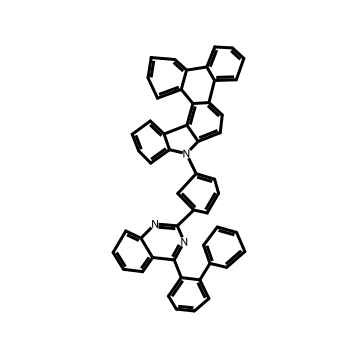 c1ccc(-c2ccccc2-c2nc(-c3cccc(-n4c5ccccc5c5c6c7ccccc7c7ccccc7c6ccc54)c3)nc3ccccc23)cc1